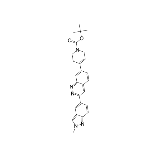 Cn1cc2cc(-c3cc4ccc(C5=CCN(C(=O)OC(C)(C)C)CC5)cc4nn3)ccc2n1